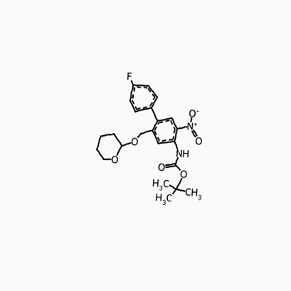 CC(C)(C)OC(=O)Nc1cc(COC2CCCCO2)c(-c2ccc(F)cc2)cc1[N+](=O)[O-]